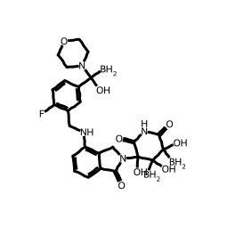 BC(O)(c1ccc(F)c(CNc2cccc3c2CN(C2(O)C(=O)NC(=O)C(B)(O)C2(B)O)C3=O)c1)N1CCOCC1